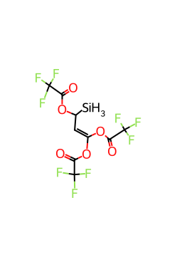 O=C(OC(=CC([SiH3])OC(=O)C(F)(F)F)OC(=O)C(F)(F)F)C(F)(F)F